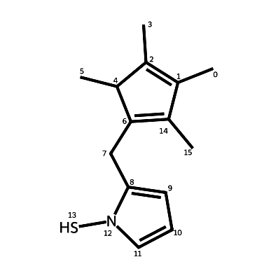 CC1=C(C)C(C)C(Cc2cccn2S)=C1C